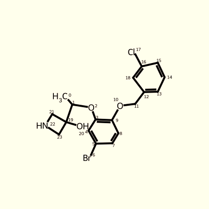 CC(Oc1cc(Br)ccc1OCc1cccc(Cl)c1)C1(O)CNC1